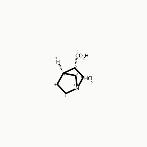 Cl.O=C(O)[C@@H]1CN2CC[C@@H]1C2